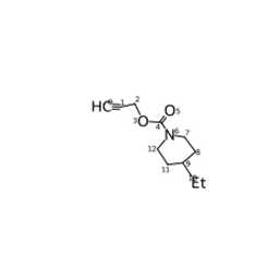 C#CCOC(=O)N1CCC(CC)CC1